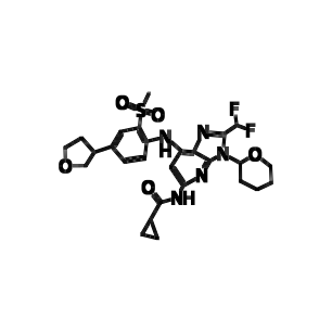 CS(=O)(=O)c1cc(C2CCOC2)ccc1Nc1cc(NC(=O)C2CC2)nc2c1nc(C(F)F)n2C1CCCCO1